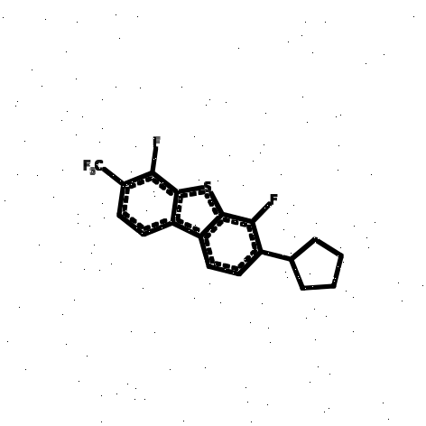 Fc1c(C2CCCC2)ccc2c1sc1c(F)c(C(F)(F)F)ccc12